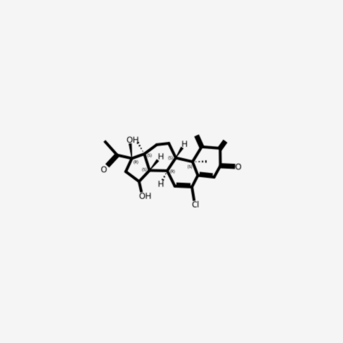 C=C1C(=C)[C@@]2(C)C(=CC1=O)C(Cl)=C[C@@H]1[C@@H]2CC[C@@]2(C)[C@H]1C(O)C[C@]2(O)C(C)=O